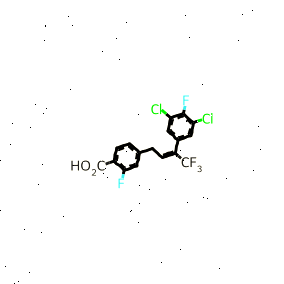 O=C(O)c1ccc(CC=C(c2cc(Cl)c(F)c(Cl)c2)C(F)(F)F)cc1F